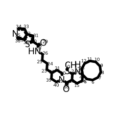 CSC1NC2(CCCCCCCCC2)CCC1C(=O)N1CCC(CCCCNC(=O)c2cc3ccncc3s2)CC1